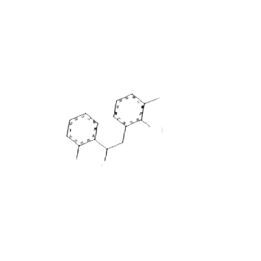 Cc1c(CC(C)c2ccccc2Cl)cccc1C(C)C